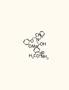 COc1ccccc1OCC(C)N(Cc1ccccc1)CC(O)c1ccc(C)c(S(N)(=O)=O)c1